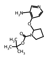 CC(C)(C)OC(=O)N1CCCC1Oc1ccncc1N